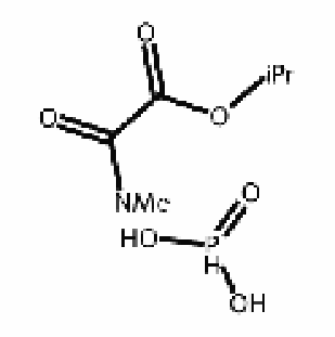 CNC(=O)C(=O)OC(C)C.O=[PH](O)O